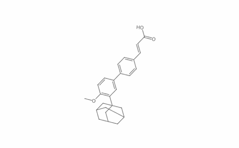 COc1ccc(-c2ccc(/C=C/C(=O)O)cc2)cc1C12CC3CC(CC(C3)C1)C2